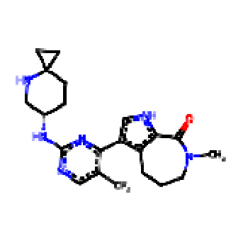 CN1CCCc2c(-c3nc(N[C@H]4CCC5(CC5)NC4)ncc3C(F)(F)F)c[nH]c2C1=O